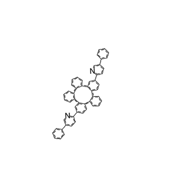 c1ccc(-c2ccc(-c3ccc4c5ccccc5c5ccc(-c6ccc(-c7ccccc7)cn6)cc5c5ccccc5c5ccccc5c4c3)nc2)cc1